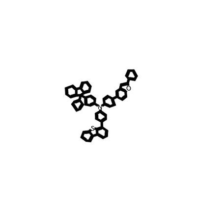 c1ccc(-c2cc3cc(-c4ccc(N(c5ccc(-c6cccc7c6sc6ccccc67)cc5)c5ccc(C6(c7ccccc7)c7ccccc7-c7ccccc76)cc5)cc4)ccc3o2)cc1